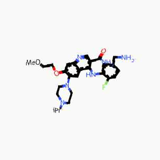 COCCOc1cc2ncc(C(N)=O)c(Nc3cc(CN)ccc3F)c2cc1N1CCN(C(C)C)CC1